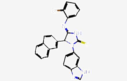 S=C1NC(=Nc2ccccc2Br)C(c2ccc3ccccc3c2)N1c1ccc2nc[nH]c2c1